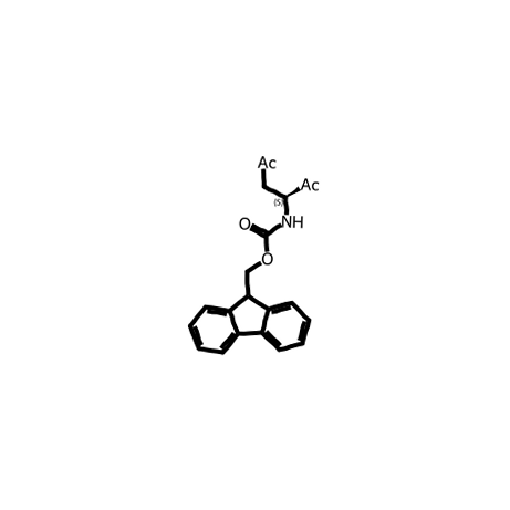 CC(=O)C[C@H](NC(=O)OCC1c2ccccc2-c2ccccc21)C(C)=O